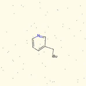 CC[C](C)Cc1cccnc1